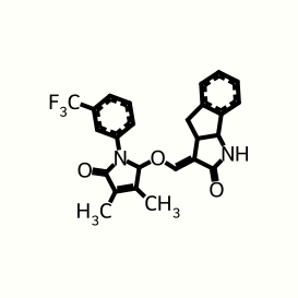 CC1=C(C)C(OC=C2C(=O)NC3c4ccccc4CC23)N(c2cccc(C(F)(F)F)c2)C1=O